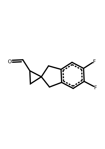 O=CC1CC12Cc1cc(F)c(F)cc1C2